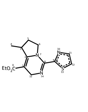 CCOC(=O)C1=C2C(C)CCN2C(c2nccs2)=NC1